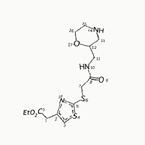 CCOC(=O)Cc1csc(SCC(=O)NCC2CNCCO2)n1